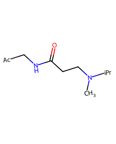 CC(=O)CNC(=O)CCN(C)C(C)C